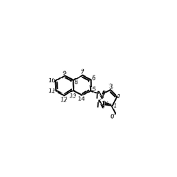 Cc1ccn(-c2ccc3ccccc3c2)n1